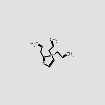 C=CCC1=NC=C[N+]1(CC=C)CC=C